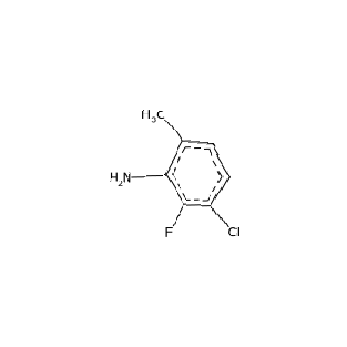 Cc1ccc(Cl)c(F)c1N